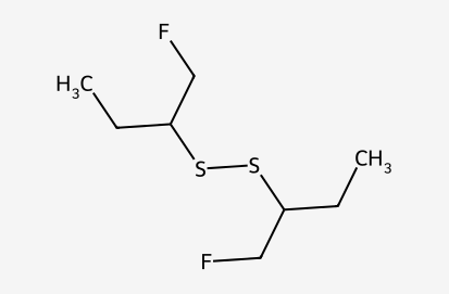 CCC(CF)SSC(CC)CF